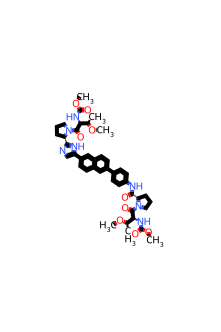 COC(=O)N[C@H](C(=O)N1CCC[C@H]1C(=O)Nc1ccc(-c2ccc3cc(-c4cnc([C@@H]5CCCN5C(=O)[C@@H](NC(=O)OC)[C@@H](C)OC)[nH]4)ccc3c2)cc1)[C@@H](C)OC